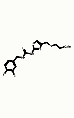 COCCOCc1csc(NC(=O)NCc2ccc(F)c(Cl)c2)n1